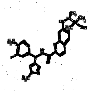 Cc1ccc(C(NC(=O)c2ccc3cnc(N[C@@H](C)C(C)(C)O)cc3n2)c2cnn(C)c2)cc1F